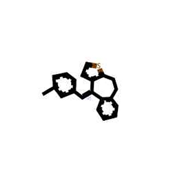 Cc1cccc(/C=C2/c3ccccc3CCc3sccc32)c1